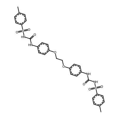 Cc1ccc(S(=O)(=O)NC(=O)Nc2ccc(OCCOc3ccc(NC(=O)NS(=O)(=O)c4ccc(C)cc4)cc3)cc2)cc1